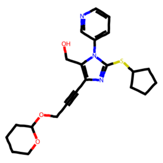 OCc1c(C#CCOC2CCCCO2)nc(SC2CCCC2)n1-c1cccnc1